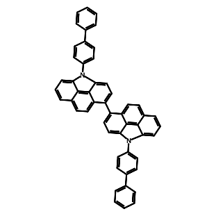 c1ccc(-c2ccc(-n3c4cccc5ccc6c(-c7ccc8c9c7ccc7cccc(c79)n8-c7ccc(-c8ccccc8)cc7)ccc3c6c54)cc2)cc1